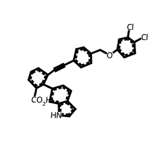 O=C(O)c1cccc(C#Cc2ccc(COc3ccc(Cl)c(Cl)c3)cc2)c1-c1ccc2cc[nH]c2c1